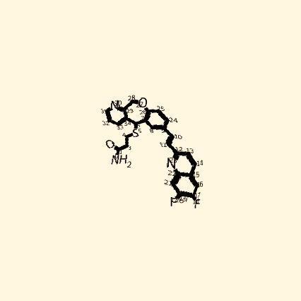 NC(=O)CCSC1c2cc(C=Cc3ccc4cc(F)c(F)cc4n3)ccc2OCc2ncccc21